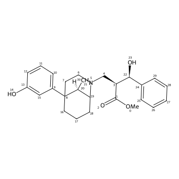 COC(=O)[C@@H](CN1CCC2(c3cccc(O)c3)CCCC1[C@@H]2C)[C@@H](O)c1ccccc1